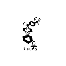 CC(C)(Oc1cccc(N2CCN(C(=O)c3ccc(C(F)(F)F)cc3)CC2)c1)C(=O)O